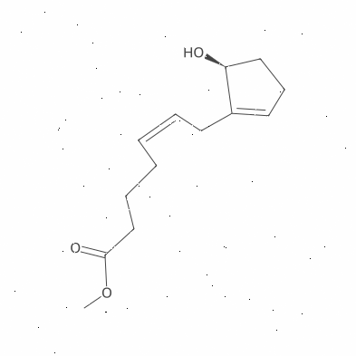 COC(=O)CCC/C=C\CC1=CCC[C@@H]1O